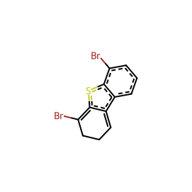 BrC1=c2sc3c(Br)cccc3c2=CCC1